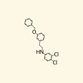 Clc1ccc(NCCc2cccc(OCc3ccccc3)c2)cc1Cl